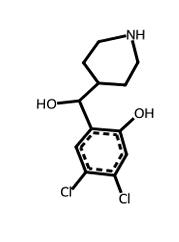 Oc1cc(Cl)c(Cl)cc1C(O)C1CCNCC1